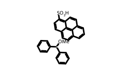 COI(c1ccccc1)c1ccccc1.O=S(=O)(O)c1ccc2ccc3cccc4ccc1c2c34